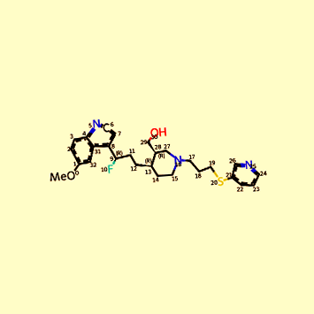 COc1ccc2nccc([C@H](F)CC[C@@H]3CCN(CCCSc4cccnc4)C[C@@H]3CO)c2c1